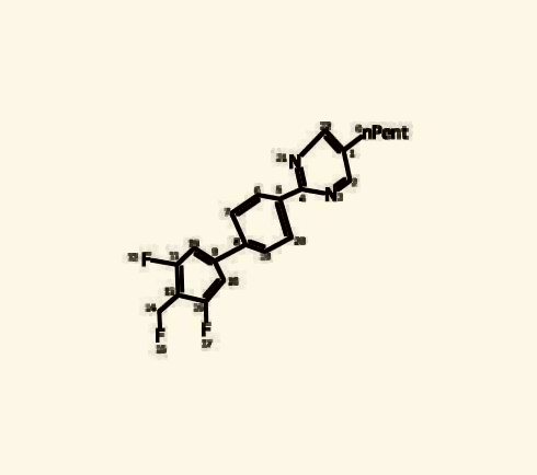 CCCCCc1cnc(-c2ccc(-c3cc(F)c(CF)c(F)c3)cc2)nc1